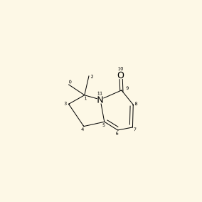 CC1(C)CCc2cccc(=O)n21